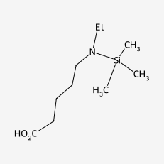 CCN(CCCCC(=O)O)[Si](C)(C)C